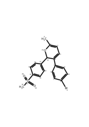 CC1=CC=C(c2ccc(Br)cc2)C(c2ccc(S(C)(=O)=O)cc2)O1